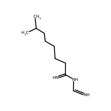 CC(C)CCCCCC(=N)NC=N